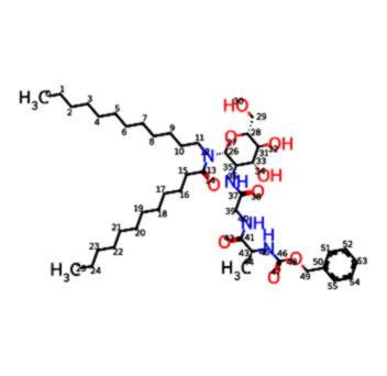 CCCCCCCCCCCCN(C(=O)CCCCCCCCCCC)[C@@H]1O[C@H](CO)[C@@H](O)[C@H](O)[C@H]1NC(=O)CNC(=O)[C@H](C)NC(=O)OCc1ccccc1